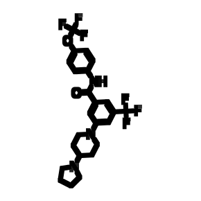 O=C(Nc1ccc(OC(F)(F)F)cc1)c1cc(N2CCC(N3CCCC3)CC2)cc(C(F)(F)F)c1